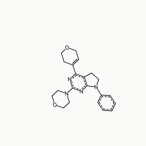 C1=C(c2nc(N3CCOCC3)nc3c2CCN3c2ccccc2)CCOC1